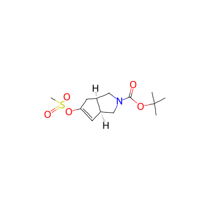 CC(C)(C)OC(=O)N1C[C@@H]2CC(OS(C)(=O)=O)=C[C@@H]2C1